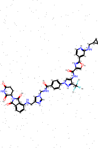 O=C1CCC(N2C(=O)c3cccc(NCc4cn(CNC(=O)c5ccc(-n6cc(NC(=O)c7coc(-c8ccnc(NCC9CC9)c8)n7)c(C(F)(F)F)n6)cc5)cn4)c3C2=O)C(=O)N1